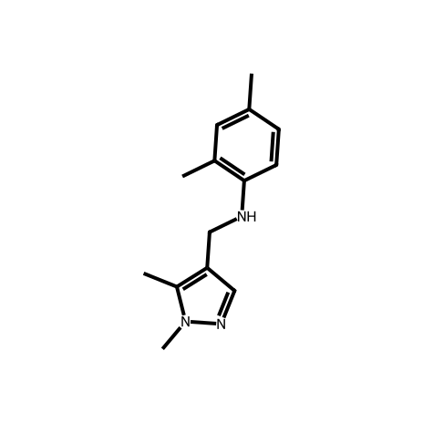 Cc1ccc(NCc2cnn(C)c2C)c(C)c1